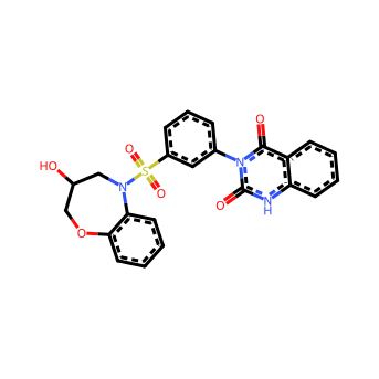 O=c1[nH]c2ccccc2c(=O)n1-c1cccc(S(=O)(=O)N2CC(O)COc3ccccc32)c1